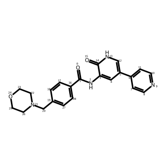 O=C(Nc1cc(-c2ccncc2)c[nH]c1=O)c1ccc(CN2CCOCC2)cc1